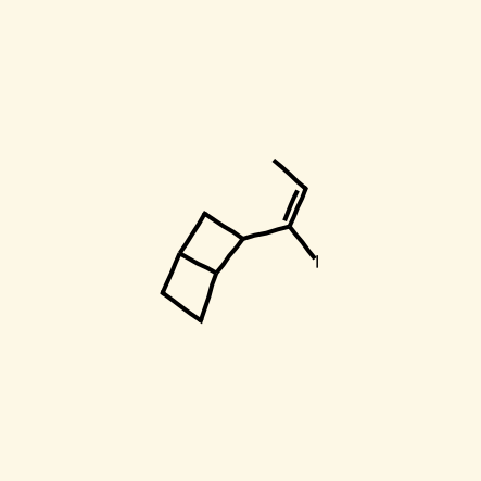 C/C=C(/I)C1CC2CCC21